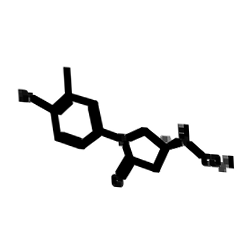 Cc1cc(N2C[C@@H](NC(=O)O)CC2=O)ccc1Br